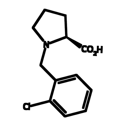 O=C(O)[C@@H]1CCCN1Cc1ccccc1Cl